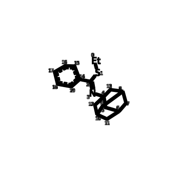 CCSC(=NC12CC3CC(CC(C3)C1)C2)c1ccccc1